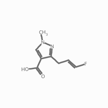 Cn1cc(C(=O)O)c(CC=CF)n1